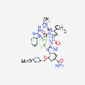 CCn1nc(C)cc1C(=O)Nc1nc2ccccc2n1CC(F)(F)C(F)(F)Cn1c(NC(=O)c2cc(C)nn2CC)nc2cc(C(N)=O)cc(OCc3ccc(OC)cc3)c21